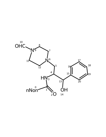 CCCCCCCCCC(=O)NC(CN1CCN(C=O)CC1)C(O)c1ccccc1